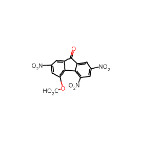 O=C(O)Oc1cc([N+](=O)[O-])cc2c1-c1c(cc([N+](=O)[O-])cc1[N+](=O)[O-])C2=O